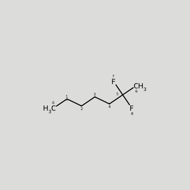 C[CH]CCCC(C)(F)F